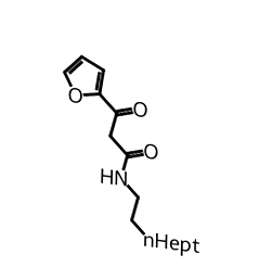 CCCCCCCCCNC(=O)CC(=O)c1ccco1